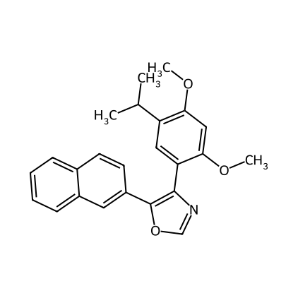 COc1cc(OC)c(C(C)C)cc1-c1ncoc1-c1ccc2ccccc2c1